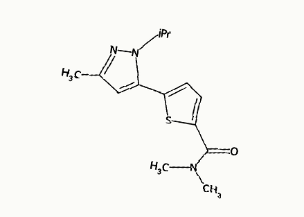 Cc1cc(-c2ccc(C(=O)N(C)C)s2)n(C(C)C)n1